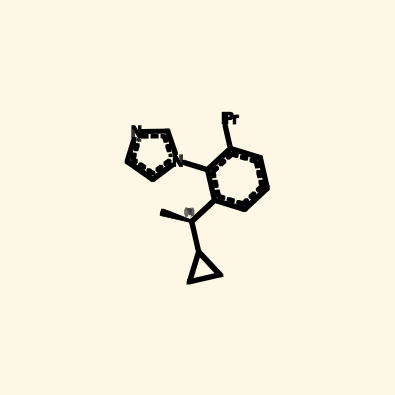 CC(C)c1cccc([C@H](C)C2CC2)c1-n1ccnc1